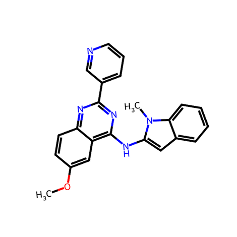 COc1ccc2nc(-c3cccnc3)nc(Nc3cc4ccccc4n3C)c2c1